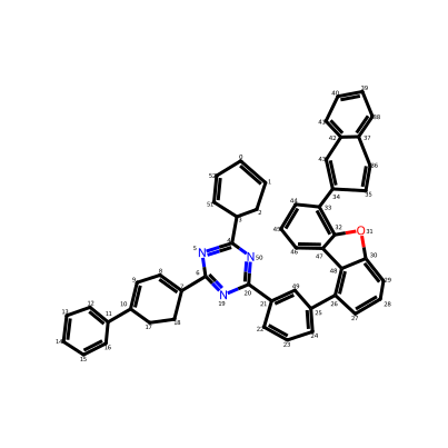 C1=CCC(c2nc(C3=CC=C(c4ccccc4)CC3)nc(-c3cccc(-c4cccc5oc6c(-c7ccc8ccccc8c7)cccc6c45)c3)n2)C=C1